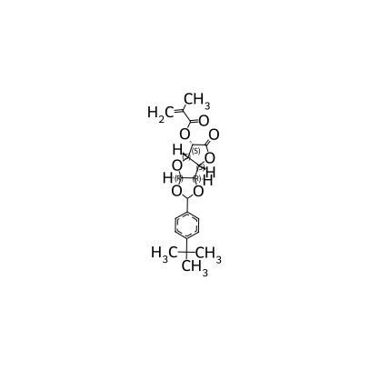 C=C(C)C(=O)O[C@@H]1C(=O)O[C@@H]2[C@H]3OC(c4ccc(C(C)(C)C)cc4)O[C@H]3O[C@@H]21